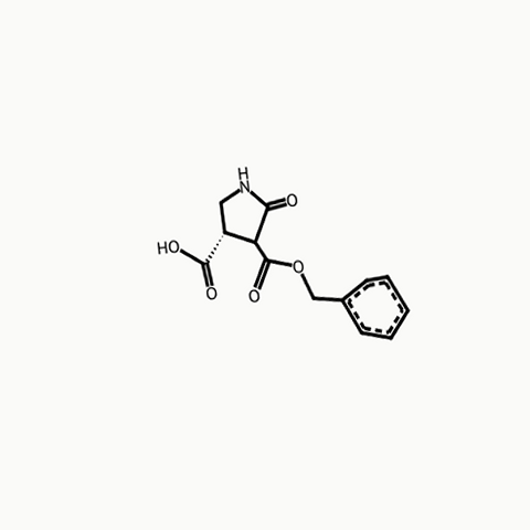 O=C1NC[C@@H](C(=O)O)C1C(=O)OCc1ccccc1